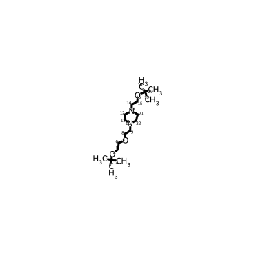 CC(C)(C)OCCOCCN1CCN(CCOC(C)(C)C)CC1